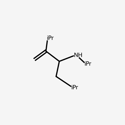 C=C(C(C)C)C(CC(C)C)NC(C)C